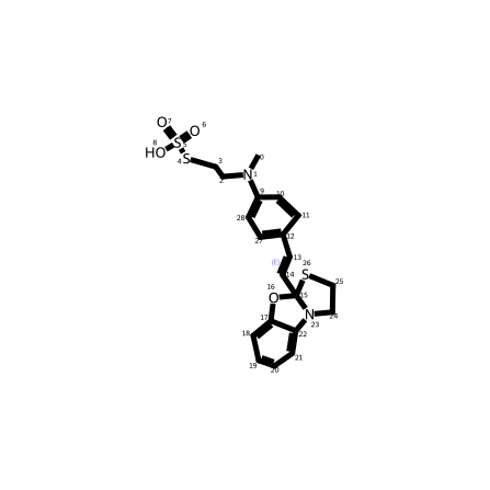 CN(CCSS(=O)(=O)O)c1ccc(/C=C/C23Oc4ccccc4N2CCS3)cc1